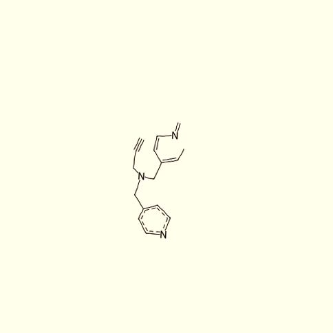 C#CCN(CC(/C=C\N=C)=C/C)Cc1ccncc1